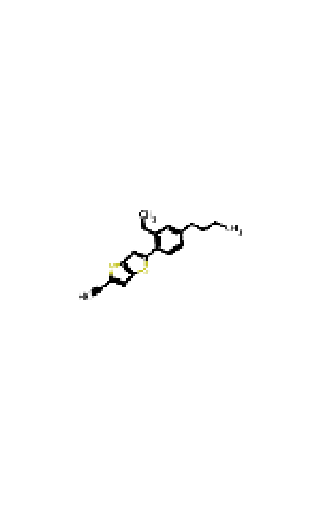 C#Cc1cc2sc(-c3ccc(CCCC)cc3CC)cc2s1